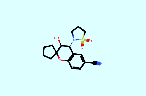 N#Cc1ccc2c(c1)[C@@H](N1CCCS1(=O)=O)[C@H](O)C1(CCCC1)O2